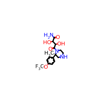 C[C@@]1(c2ccc(OC(F)(F)F)cc2)CNCCN1C(=O)C(O)C(O)C(N)=O